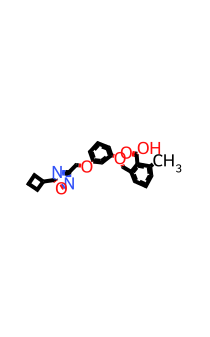 Cc1cccc(COc2cccc(OCc3noc(C4CCC4)n3)c2)c1C(=O)O